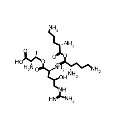 C[C@@H](OC(=O)[C@@H](N)CC(O)CNC(=N)N)[C@H](N)C(=O)O.NCCC[C@H](N)C(=O)OC(=O)[C@@H](N)CCCN